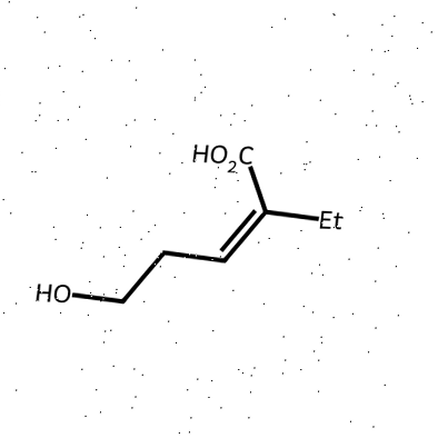 CCC(=CCCO)C(=O)O